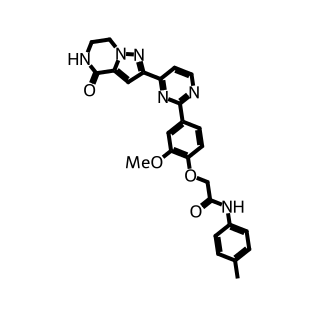 COc1cc(-c2nccc(-c3cc4n(n3)CCNC4=O)n2)ccc1OCC(=O)Nc1ccc(C)cc1